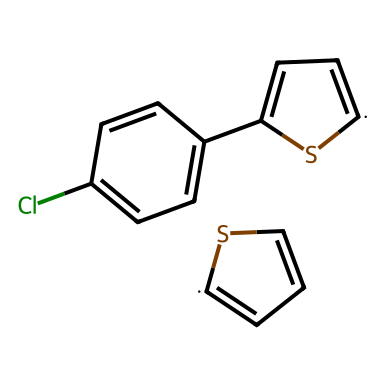 Clc1ccc(-c2cc[c]s2)cc1.[c]1cccs1